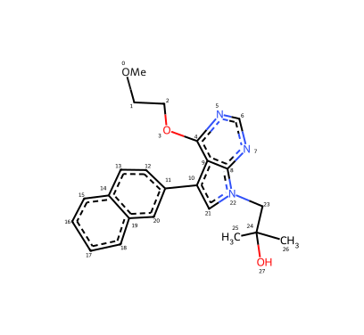 COCCOc1ncnc2c1c(-c1ccc3ccccc3c1)cn2CC(C)(C)O